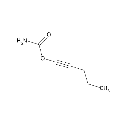 CCCC#COC(N)=O